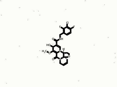 COC1=C2C(=O)N3CC=CC[C@]34COCC[C@@H]4N2C=C(C(=O)NCc2ccc(F)c(Cl)c2F)C1O